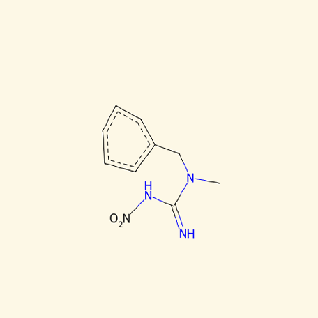 CN(Cc1ccccc1)C(=N)N[N+](=O)[O-]